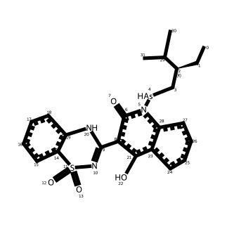 CC[C@@H](C[AsH]n1c(=O)c(C2=NS(=O)(=O)c3ccccc3N2)c(O)c2ccccc21)C(C)C